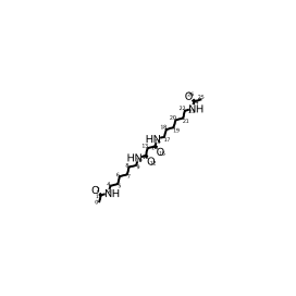 CC(=O)NCCCCCCNC(=O)CC(=O)NCCCCCCNC(C)=O